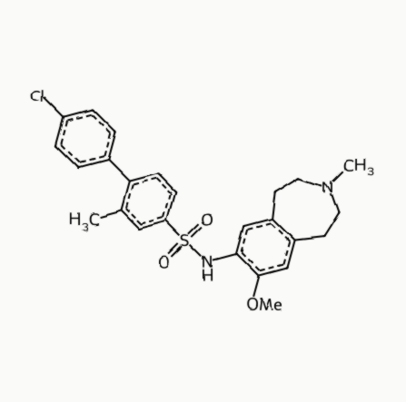 COc1cc2c(cc1NS(=O)(=O)c1ccc(-c3ccc(Cl)cc3)c(C)c1)CCN(C)CC2